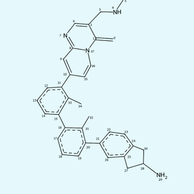 C=C1C(CNC)=CN=C2C=C(c3cccc(-c4cccc(-c5ccc6c(c5)CC(N)C6)c4C)c3C)C=CN12